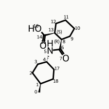 C[C@H]1CC[C@H](NC(=O)[C@@H]2CCCC[C@@H]2C(=O)O)CC1